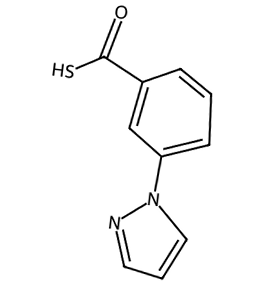 O=C(S)c1cccc(-n2cccn2)c1